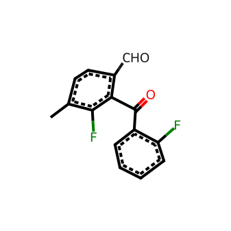 Cc1ccc(C=O)c(C(=O)c2ccccc2F)c1F